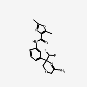 Cc1nc(C(=O)Nc2cccc(C3(C(F)F)COCC(N)=N3)c2)c(C)o1